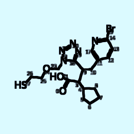 O=C(O)C(C1CCCC1)[C@H](Cc1ccc(Br)nc1)c1nnnn1COCCS